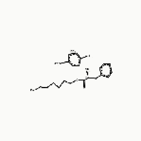 CCCCCCCCCCCCCCCCOC(=O)[C@@H](N)Cc1ccccc1.Cc1ccc(S(=O)(=O)O)cc1.N